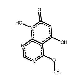 COc1ncnc2c1c(O)cc(=O)n2O